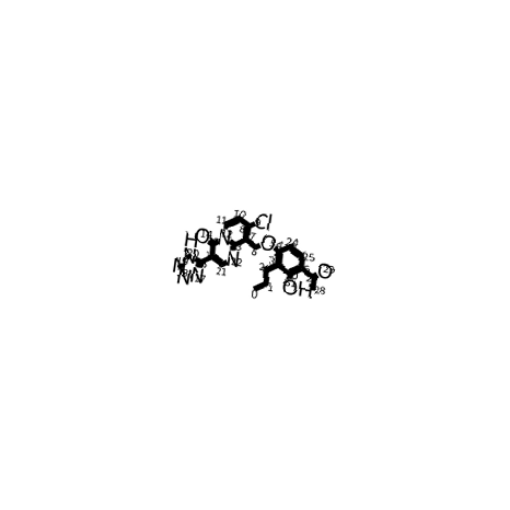 CCCc1c(OCc2c(Cl)ccn3c(=O)c(-c4nnn[nH]4)cnc23)ccc(C(C)=O)c1O